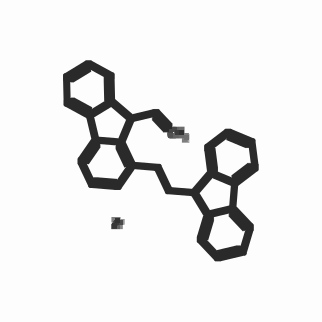 C=CC1c2ccccc2-c2cccc(CCC3c4ccccc4-c4ccccc43)c21.[Zr]